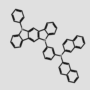 c1ccc(-n2c3ccccc3c3cc4c(cc32)c2ccccc2n4-c2cccc(N(c3ccc4ccccc4c3)c3ccc4ccccc4c3)c2)cc1